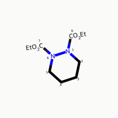 CCOC(=O)N1CCCCN1C(=O)OCC